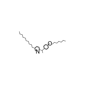 CCCCCCCCCCc1ccc(C(C)c2ccc(OCCCCCCC)cc2)nc1